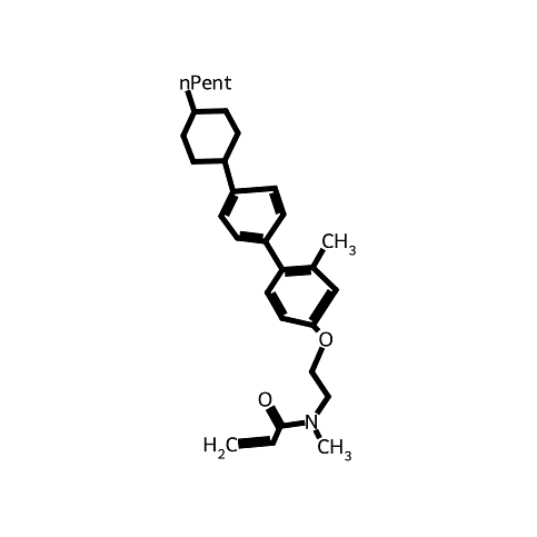 C=CC(=O)N(C)CCOc1ccc(-c2ccc(C3CCC(CCCCC)CC3)cc2)c(C)c1